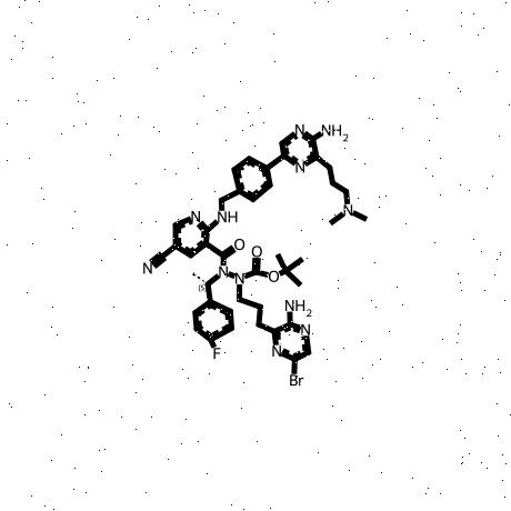 C[C@@H](c1ccc(F)cc1)N(C(=O)c1cc(C#N)cnc1NCc1ccc(-c2cnc(N)c(CCCN(C)C)n2)cc1)N(CCCc1nc(Br)cnc1N)C(=O)OC(C)(C)C